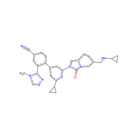 Cn1cnnc1-c1cc(C#N)ccc1-c1cc(C2CC2)nc(-n2cc3ccc(CNC4CC4)cn3c2=O)c1